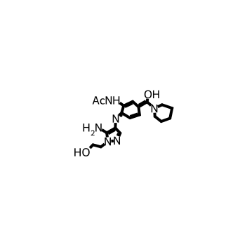 CC(=O)NC1=CC(=C(O)N2CCCCC2)C=CC1=Nc1cnn(CCO)c1N